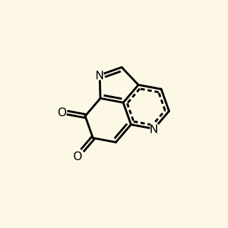 O=C1C=c2nccc3c2=C(N=C3)C1=O